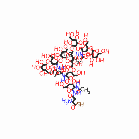 CC(=O)NC1C(NC(=O)C[C@H](N)C(=O)S)OC(CO)C(OC2OC(CO)C(OC(O)C(O)C(OC3OC(CO)C(O)C(O)C3OC3OC(CO)C(OC4OC(CO)C(O)C(O)C4O)C(O)C3NC(C)=O)C(O)C(C)COC3OC(CO)C(O)C(O)C3OC3OC(CO)C(OC4OC(CO)C(O)C(O)C4O)C(O)C3NC(C)=O)C(O)C2NC(C)=O)C1O